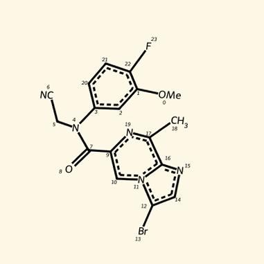 COc1cc(N(CC#N)C(=O)c2cn3c(Br)cnc3c(C)n2)ccc1F